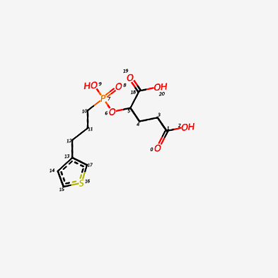 O=C(O)CCC(OP(=O)(O)CCCc1ccsc1)C(=O)O